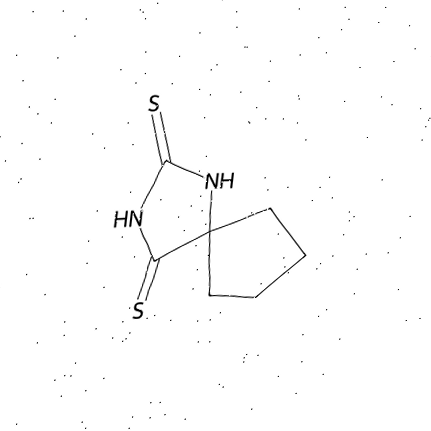 S=C1NC(=S)C2(CCCC2)N1